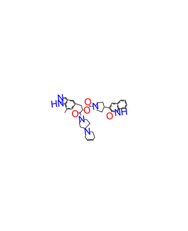 Cc1cc(CC(OC(=O)N2CCC(c3cc4ccccc4[nH]c3=O)CC2)C(=O)N2CCC(N3CC=CCC3)CC2)cc2cn[nH]c12